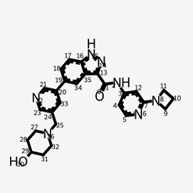 O=C(Nc1ccnc(N2CCC2)c1)c1n[nH]c2ccc(-c3cncc(CN4CCC(O)CC4)c3)cc12